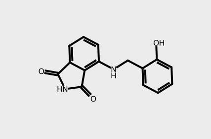 O=C1NC(=O)c2c(NCc3ccccc3O)cccc21